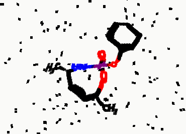 C[C@H]1C=C[C@H](C)OP(=O)(Oc2ccccc2)N1